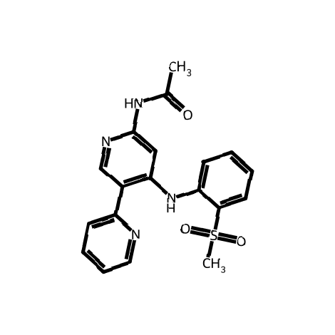 CC(=O)Nc1cc(Nc2ccccc2S(C)(=O)=O)c(-c2ccccn2)cn1